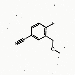 COCc1cc(C#N)ccc1F